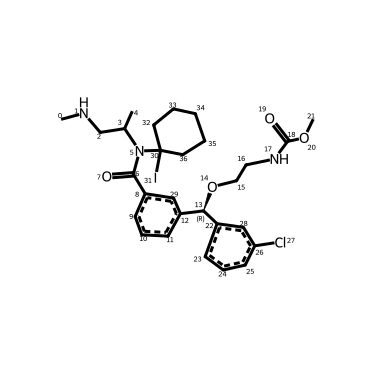 CNCC(C)N(C(=O)c1cccc([C@@H](OCCNC(=O)OC)c2cccc(Cl)c2)c1)C1(I)CCCCC1